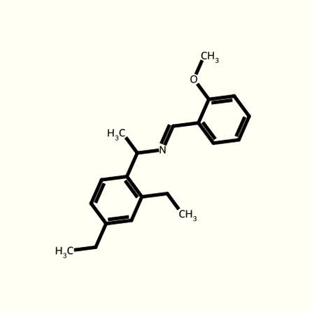 CCc1ccc(C(C)N=Cc2ccccc2OC)c(CC)c1